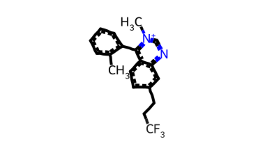 Cc1ccccc1-c1c2ccc(CCC(F)(F)F)cc2nc[n+]1C